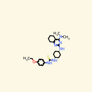 CCOc1ccc(NC(=S)N[C@H]2CC[C@@H](Nc3nc4c(c(N(C)C)n3)CCCC4)CC2)cc1